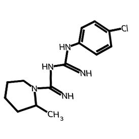 CC1CCCCN1C(=N)NC(=N)Nc1ccc(Cl)cc1